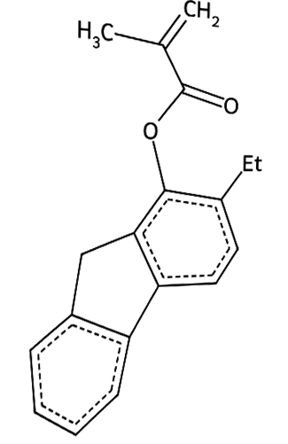 C=C(C)C(=O)Oc1c(CC)ccc2c1Cc1ccccc1-2